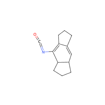 O=C=NC1=C2CCCC2=CC2CCCC12